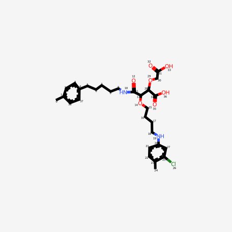 Cc1ccc(CCCCCNC(=O)C(OCCCCNc2ccc(C)c(Cl)c2)C(OCC(=O)O)C(=O)O)cc1